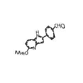 COc1ccc2[nH]c(-c3ccc(C=O)cc3)cc2n1